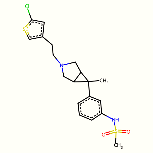 CC1(c2cccc(NS(C)(=O)=O)c2)C2CN(CCc3csc(Cl)c3)CC21